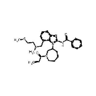 C=CC(=O)N1CCCCC(n2c(NC(=O)c3ccccc3)nc3cccc(CN(C)CCSC)c32)C1